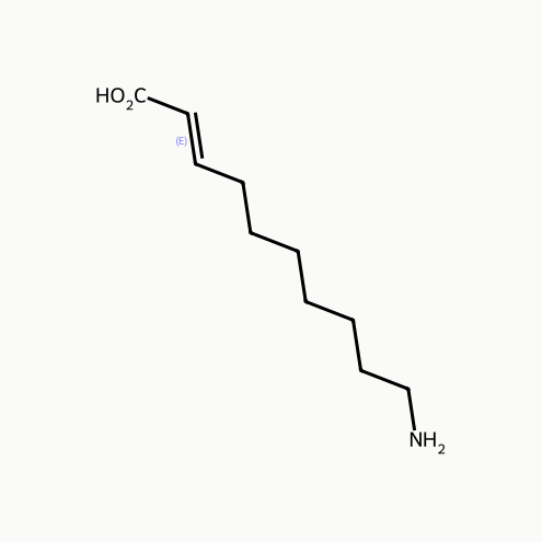 NCCCCCCC/C=C/C(=O)O